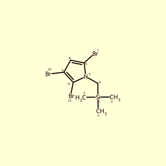 C[Si](C)(C)Cn1c(Br)cc(Br)c1Br